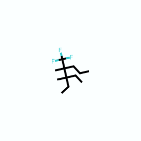 CCCC(C)(C(F)(F)F)C(C)(CC)CC